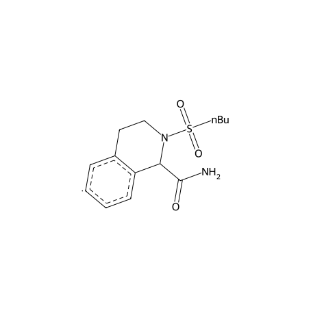 CCCCS(=O)(=O)N1CCc2c[c]ccc2C1C(N)=O